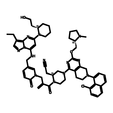 C=C(Cn1cc(CNc2cc(N3CCCC[C@H]3CCO)nc3c(CC)cnn23)ccc1=O)C(=O)N1CCN(c2nc(OC[C@@H]3CCCN3C)nc3c2CCN(c2cccc4cccc(Cl)c24)C3)C[C@@H]1CC#N